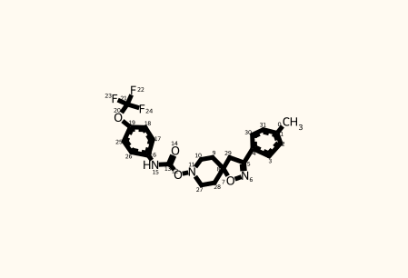 Cc1ccc(C2=NOC3(CCN(OC(=O)Nc4ccc(OC(F)(F)F)cc4)CC3)C2)cc1